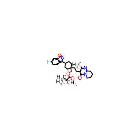 Cc1nc2n(c(=O)c1CCC1(COC(=O)C(C)(C)C)CCC(c3noc4cc(F)ccc34)CC1)CCCC2